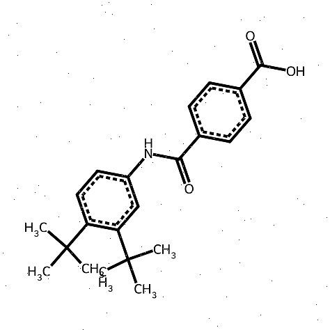 CC(C)(C)c1ccc(NC(=O)c2ccc(C(=O)O)cc2)cc1C(C)(C)C